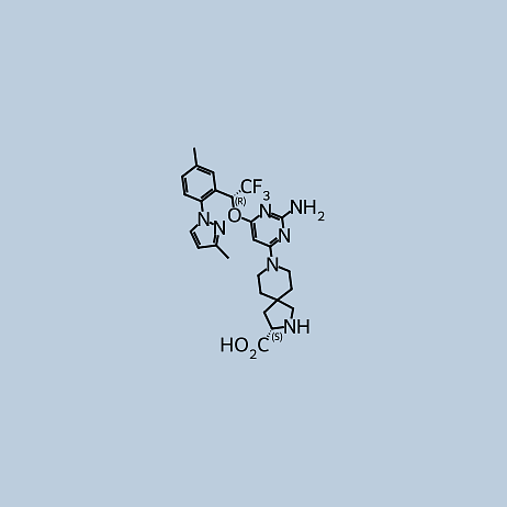 Cc1ccc(-n2ccc(C)n2)c([C@@H](Oc2cc(N3CCC4(CC3)CN[C@H](C(=O)O)C4)nc(N)n2)C(F)(F)F)c1